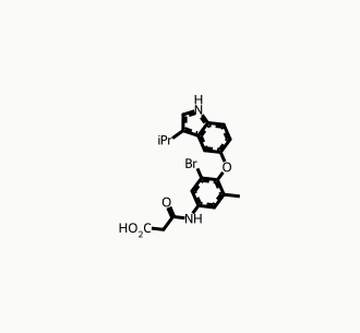 Cc1cc(NC(=O)CC(=O)O)cc(Br)c1Oc1ccc2[nH]cc(C(C)C)c2c1